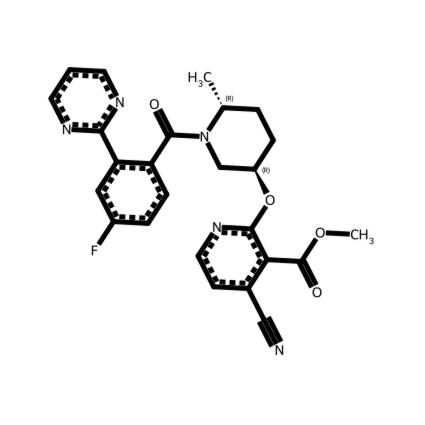 COC(=O)c1c(C#N)ccnc1O[C@@H]1CC[C@@H](C)N(C(=O)c2ccc(F)cc2-c2ncccn2)C1